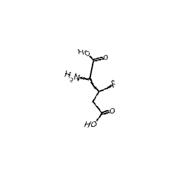 NC(C(=O)O)C(F)CC(=O)O